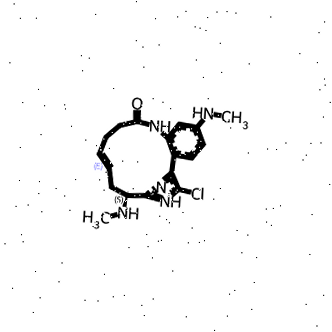 CNc1ccc2c(c1)NC(=O)CC/C=C/C[C@H](NC)c1nc-2c(Cl)[nH]1